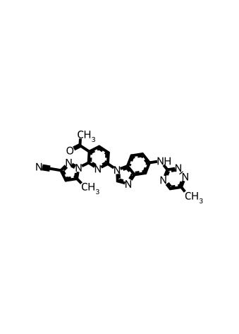 CC(=O)c1ccc(-n2cnc3cc(Nc4ncc(C)nn4)ccc32)nc1-n1nc(C#N)cc1C